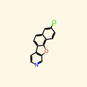 Clc1ccc2c(ccc3c4ccncc4oc23)c1